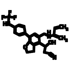 C=CC(=C)NCc1cc(-c2ccc(NC(F)(F)F)cc2)c2c(c1C(O)CC#N)CCO2